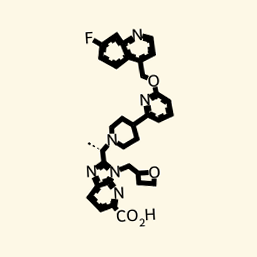 C[C@@H](c1nc2ccc(C(=O)O)nc2n1CC1CCO1)N1CCC(c2cccc(OCc3ccnc4cc(F)ccc34)n2)CC1